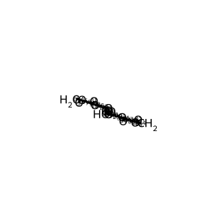 C=CC(=O)OCCCCCC(=O)OCCCCCC(=O)OP(=O)(O)OC(=O)CCCCCOC(=O)CCCCCOC(=O)C=C